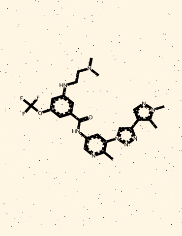 Cc1ncc(NC(=O)c2cc(NCCN(C)C)cc(OC(F)(F)F)c2)cc1-n1cc(-c2cnn(C)c2C)nn1